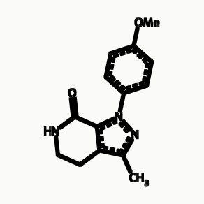 COc1ccc(-n2nc(C)c3c2C(=O)NCC3)cc1